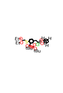 CCOC(CSc1ccc(C[C@@H](Cl)B2O[C@@H]3C[C@@H]4C[C@@H](C4(C)C)[C@]3(C)O2)c(OC(=O)OC(C)(C)C)c1C(=O)OC(C)(C)C)OCC